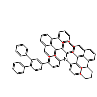 c1ccc(-c2ccc(-c3ccc(N(c4ccccc4-c4cccc5cccc(-c6ccccc6)c45)c4ccccc4-c4cccc5cccc(C6CCCCC6)c45)cc3)cc2-c2ccccc2)cc1